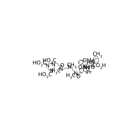 COc1cccc(OC)c1C1CC(C(=O)NC2(C(=O)O)CCC3CC(C)CC2C3)=NN1c1ccc(C(=O)N(C)CCCN(C)CCCN(C)C(=O)CCC(C(=O)O)N2CCN(CC(=O)O)CCN(CC(=O)O)CC2)cc1C(C)C